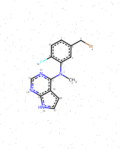 CN(c1cc(CBr)ccc1F)c1ncnc2[nH]ccc12